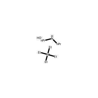 CCCNCCC.CC[N+](CC)(CC)CC.[OH-]